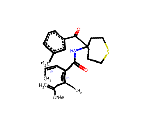 C=C(OC)/C(C)=C(\C=C/C)C(=O)NC1(C(=O)c2cccc(C)c2)CCSCC1